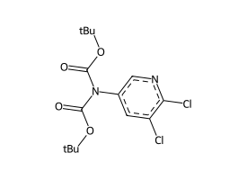 CC(C)(C)OC(=O)N(C(=O)OC(C)(C)C)c1cnc(Cl)c(Cl)c1